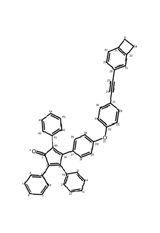 O=C1C(c2ccccc2)=C(c2ccccc2)C(c2ccc(Oc3ccc(C#Cc4ccc5c(c4)CC5)cc3)cc2)=C1c1ccccc1